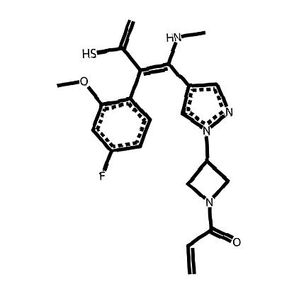 C=CC(=O)N1CC(n2cc(/C(NC)=C(/C(=C)S)c3ccc(F)cc3OC)cn2)C1